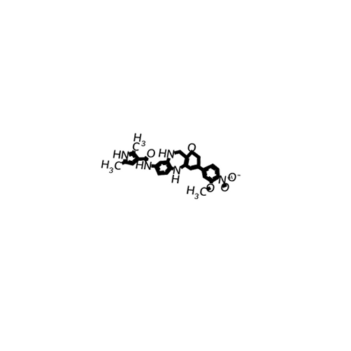 COc1cc(C2=CC3=C(CNc4cc(NC(=O)c5cc(C)[nH]c5C)ccc4N3)C(=O)C2)ccc1[N+](=O)[O-]